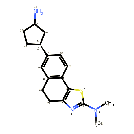 CCCCN(C)c1nc2c(s1)-c1ccc([C@H]3CCC(N)C3)cc1CC2